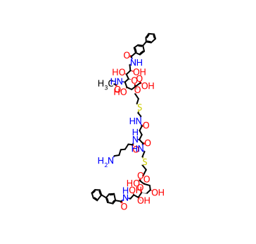 CC(=O)N[C@H]1[C@H]([C@H](O)[C@H](O)CNC(=O)c2ccc(-c3ccccc3)cc2)O[C@@](OCCCSCCNC(=O)CCC(NC(=O)CCCCCN)C(=O)NCCSCCCO[C@]2(C(=O)O)C[C@H](O)C[C@H]([C@H](O)[C@H](O)CNC(=O)c3ccc(-c4ccccc4)cc3)O2)(C(=O)O)C[C@@H]1O